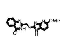 COc1ccc2[nH]c(SCc3nc4ccccc4c(=O)[nH]3)nc2n1